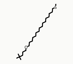 CSCCCCCCCCCCCCCCCCOCCCC(C)(C)C